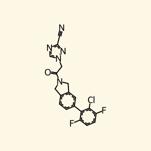 N#Cc1ncn(CC(=O)N2Cc3ccc(-c4c(F)ccc(F)c4Cl)cc3C2)n1